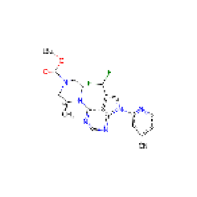 C[C@H]1CN(C(=O)OC(C)(C)C)CCN1c1ncnc2c1c(C(F)F)cn2-c1cc(C#N)ccn1